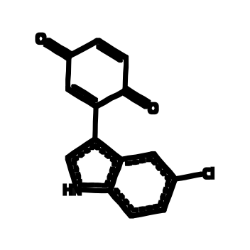 O=C1C=CC(=O)C(c2c[nH]c3ccc(Cl)cc23)=C1